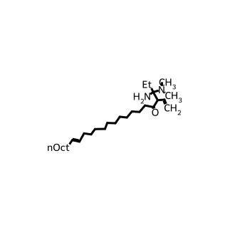 C=CC(C(=O)CCCCCCCCCCCC=CCCCCCCCC)C(N)(CC)N(C)C